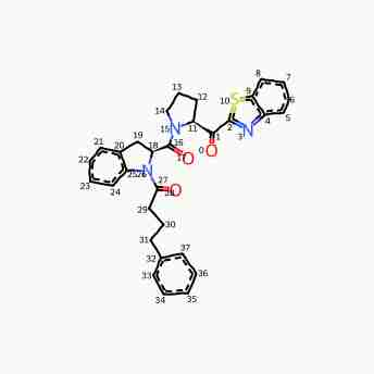 O=C(c1nc2ccccc2s1)[C@@H]1CCCN1C(=O)[C@@H]1Cc2ccccc2N1C(=O)CCCc1ccccc1